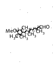 COc1cc(C)c(/C=C/C(C)=C/C=C/C(C)=C/C=O)c(C)c1C